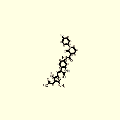 Cc1[nH]c(C=C2C(=O)Nc3cc(NC(=O)c4cccn(-c5ccc(F)cc5)c4=O)ccc32)c(C)c1CC(=O)O